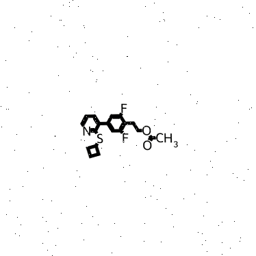 CC(=O)OCCc1c(F)cc(-c2cccnc2SC2CCC2)cc1F